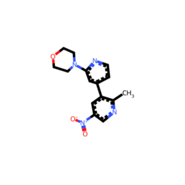 Cc1ncc([N+](=O)[O-])cc1-c1ccnc(N2CCOCC2)c1